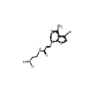 CCN(CC)CCNC(=O)C=Cc1cnc(N)c2c(Br)csc12